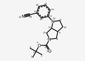 CC(C)(C)OC(=O)N1CC2CCN(c3cccc(C#N)c3)C2C1